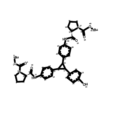 CC(C)(C)OC(=O)N1CCC[C@H]1C(=O)Nc1ccc(C2C(c3ccc(O)cc3)C2c2ccc(NC(=O)[C@@H]3CCCN3C(=O)OC(C)(C)C)cc2)cc1